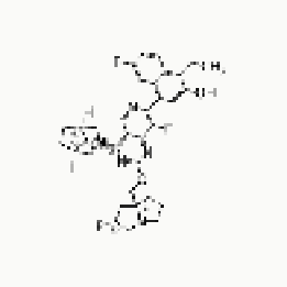 C=C1[C@@H]2CC[C@H]1CN(c1nc(OC[C@@]34CCCN3C[C@H](F)C4)nc3c(F)c(-c4cc(O)c(CC)c5ccc(F)cc45)ncc13)C2